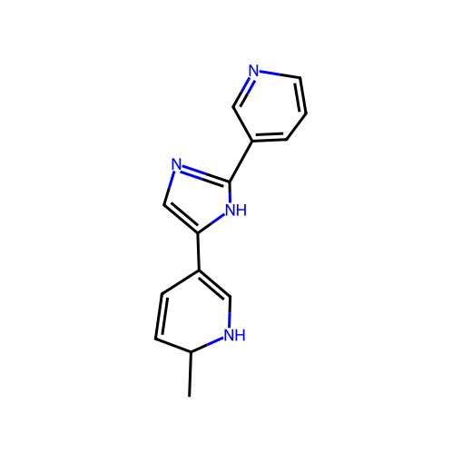 CC1C=CC(c2cnc(-c3cccnc3)[nH]2)=CN1